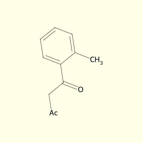 CC(=O)CC(=O)c1ccccc1C